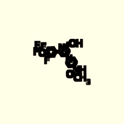 CC(=O)NC1CCN(c2cc(CO)nc(-c3ccc(OC(F)(F)F)c(F)c3)c2)CC1